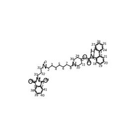 CN(CCCCCCCN1CCC(OC(=O)Nc2ccccc2-c2ccccc2)CC1)CCCN1C(=O)c2ccccc2C1=O